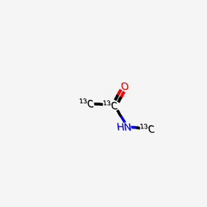 [13CH3]N[13C]([13CH3])=O